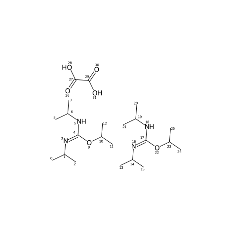 CC(C)N=C(NC(C)C)OC(C)C.CC(C)N=C(NC(C)C)OC(C)C.O=C(O)C(=O)O